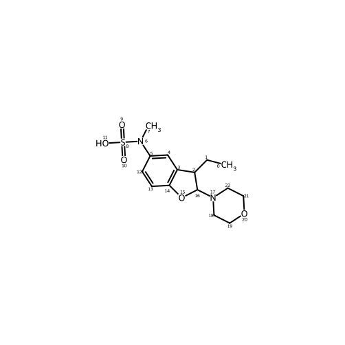 CCC1c2cc(N(C)S(=O)(=O)O)ccc2OC1N1CCOCC1